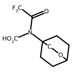 O=C(O)N(C(=O)C(F)(F)F)C12CCC(CC1)OC2